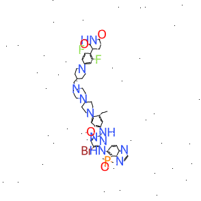 CCc1cc(Nc2ncc(Br)c(Nc3ccc4nccnc4c3P(C)(C)=O)n2)c(OC)cc1N1CCC(N2CCN(CC3CCN(c4cc(F)c(C5CCC(=O)NC5=O)c(F)c4)CC3)CC2)CC1